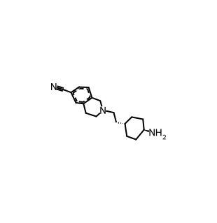 N#Cc1ccc2c(c1)CCN(CC[C@H]1CC[C@H](N)CC1)C2